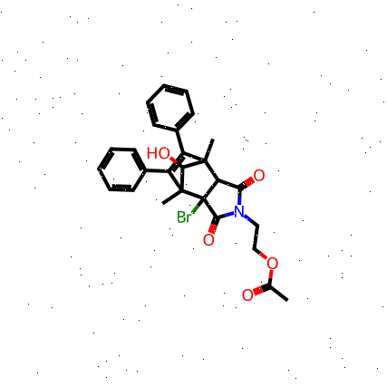 CC(=O)OCCN1C(=O)C2C3(C)C(c4ccccc4)=C(c4ccccc4)C(C)(C3O)C2(Br)C1=O